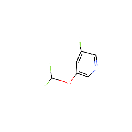 Fc1cncc(OC(F)F)c1